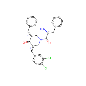 N[C@@H](Cc1ccccc1)C(=O)N1C/C(=C\c2ccccc2)C(=O)/C(=C/c2ccc(Cl)c(Cl)c2)C1